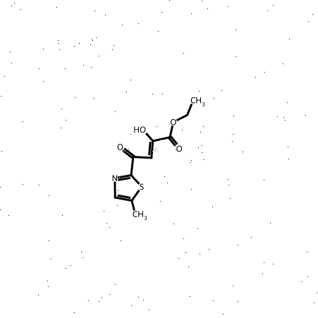 CCOC(=O)/C(O)=C/C(=O)c1ncc(C)s1